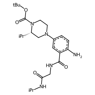 CC(C)NC(=O)CNC(=O)c1cc(N2CCN(C(=O)OC(C)(C)C)[C@@H](C(C)C)C2)ccc1N